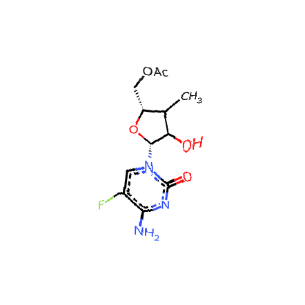 CC(=O)OC[C@H]1O[C@@H](n2cc(F)c(N)nc2=O)C(O)C1C